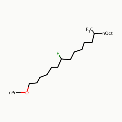 CCCCCCCCC(CCCCCC(F)CCCCCCOCCC)C(F)(F)F